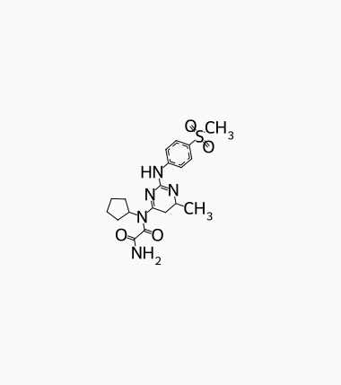 CC1CC(N(C(=O)C(N)=O)C2CCCC2)=NC(Nc2ccc(S(C)(=O)=O)cc2)=N1